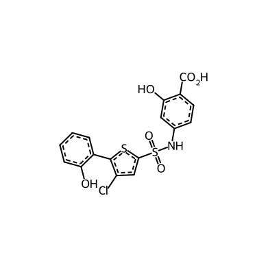 O=C(O)c1ccc(NS(=O)(=O)c2cc(Cl)c(-c3ccccc3O)s2)cc1O